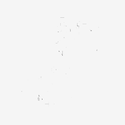 Cc1ccc2c(oc3nc4c(cc32)-c2ccccc2C4(C(C)C)C(C)C)c1-c1ccccn1